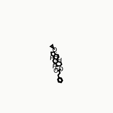 C[C@]12CC[C@H]3[C@@H](CC=C4C(F)(F)[C@@H](OC(=O)CCc5ccccc5)CC[C@@]43C)[C@@H]1CC[C@@H]2OC1CC1